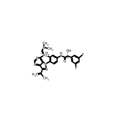 C=C(C)c1nn(-c2ccc(NC(=O)[C@H](O)c3cc(F)cc(F)c3)cc2C)c2c(/N=C/N(C)C)ncnc12